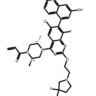 C=CC(=O)N1C[C@H](C)N(c2nc(OCCN3CCC(C)(F)C3)nc3c(F)c(-c4cc(O)cc5ccccc45)c(Cl)cc23)C[C@H]1C